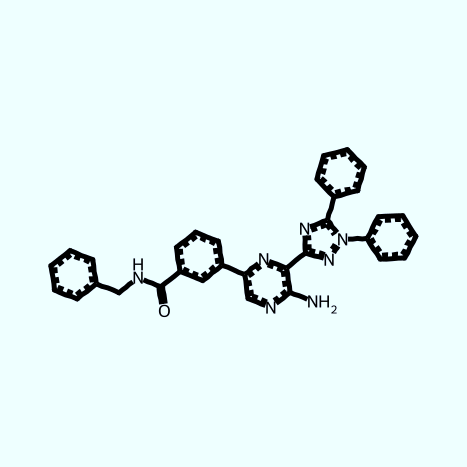 Nc1ncc(-c2cccc(C(=O)NCc3ccccc3)c2)nc1-c1nc(-c2ccccc2)n(-c2ccccc2)n1